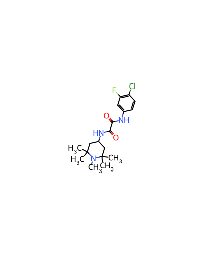 CN1C(C)(C)CC(NC(=O)C(=O)Nc2ccc(Cl)c(F)c2)CC1(C)C